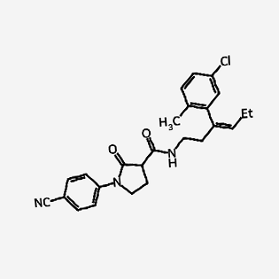 CC/C=C(/CCNC(=O)C1CCN(c2ccc(C#N)cc2)C1=O)c1cc(Cl)ccc1C